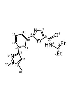 CCC(CC)NC(=O)c1cnc(-c2cccc(-c3cc(C)n(C)n3)c2)o1